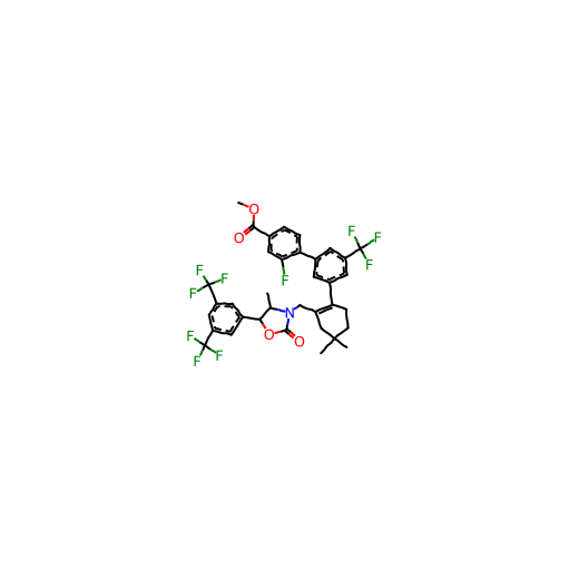 COC(=O)c1ccc(-c2cc(C3=C(CN4C(=O)OC(c5cc(C(F)(F)F)cc(C(F)(F)F)c5)C4C)CC(C)(C)CC3)cc(C(F)(F)F)c2)c(F)c1